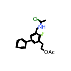 CC(=O)OCCc1cc(-c2ccccc2)cc(CNC(C)Cl)c1F